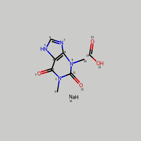 Cn1c(=O)c2[nH]cnc2n(C)c1=O.O=CO.[NaH]